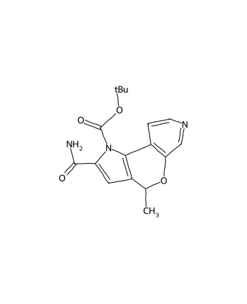 CC1Oc2cnccc2-c2c1cc(C(N)=O)n2C(=O)OC(C)(C)C